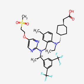 CCN(C[C@H]1CC[C@H](CC(=O)O)CC1)c1ccc(C)cc1CN(c1ncc(OCCS(C)(=O)=O)cn1)[C@H](C)c1cc(C(F)(F)F)cc(C(F)(F)F)c1